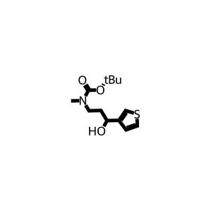 CN(CCC(O)c1ccsc1)C(=O)OC(C)(C)C